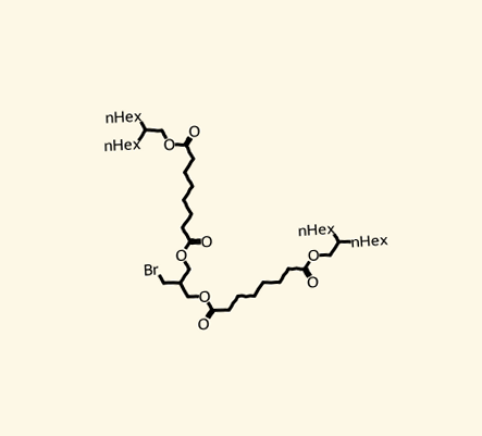 CCCCCCC(CCCCCC)COC(=O)CCCCCCC(=O)OCC(CBr)COC(=O)CCCCCCC(=O)OCC(CCCCCC)CCCCCC